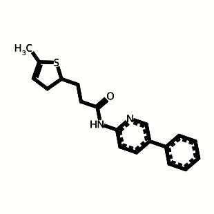 CC1=CCC(CCC(=O)Nc2ccc(-c3ccccc3)cn2)S1